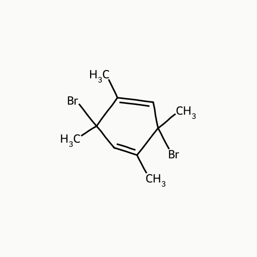 CC1=CC(C)(Br)C(C)=CC1(C)Br